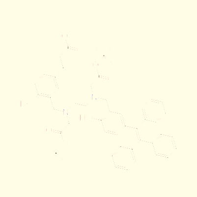 COC(=O)CCc1ccc(O)c(CN(CCN(CC(=O)OC(C)(C)C)Cc2cc(C(=C(c3ccccc3)c3ccccc3)c3ccccc3)ccc2O)CC(=O)OC(C)(C)C)c1